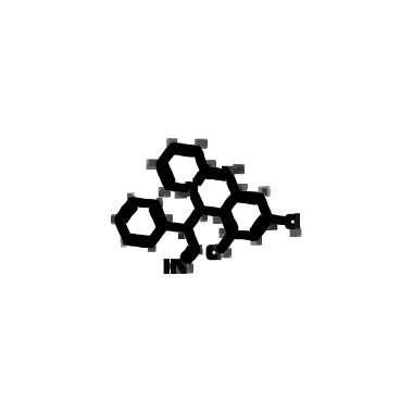 N=CC(c1ccccc1)C1c2c(Cl)cc(Cl)cc2N=C2C=CC=CN21